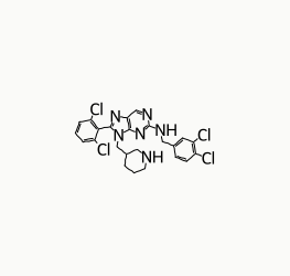 Clc1ccc(CNc2ncc3nc(-c4c(Cl)cccc4Cl)n(CC4CCCNC4)c3n2)cc1Cl